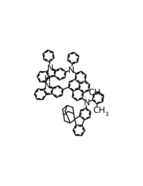 Cc1ccccc1N(c1ccc2c(c1)C1(c3ccccc3-2)C2CC3CC(C2)CC1C3)c1ccc2c(-c3ccc4c(c3)[nH]c3ccccc34)cc3c(N(c4ccccc4)c4ccc5c6ccccc6n(-c6ccccc6)c5c4)ccc4cc(C)c1c2c43